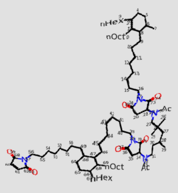 CCCCCCCCC1C(CCCCCC)CCC(C)C1CCCCCCCCN1C(=O)CC(N(CC(C)(C)CC(C)CCN(C(C)=O)C2CC(=O)N(CCCCCCCCC3C(CCCCCCCCN4C(=O)C=CC4=O)CCC(CCCCCC)C3CCCCCCCC)C2=O)C(C)=O)C1=O